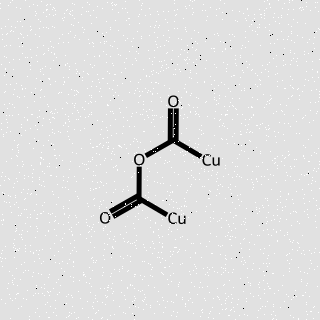 O=[C]([Cu])O[C](=O)[Cu]